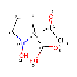 CC(=O)[C@@]1(C(=O)O)CCCN1O